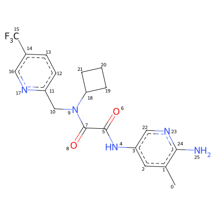 Cc1cc(NC(=O)C(=O)N(Cc2ccc(C(F)(F)F)cn2)C2CCC2)cnc1N